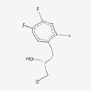 O[C@@H](CCl)Cc1cc(F)c(F)cc1F